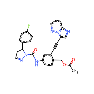 O=C(Nc1ccc(COC(=O)C(F)(F)F)c(C#Cc2cnc3cccnn23)c1)N1N=CCC1c1ccc(F)cc1